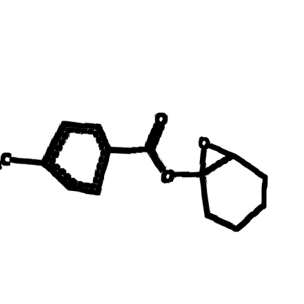 Cc1ccc(C(=O)OC23CCCCC2O3)cc1